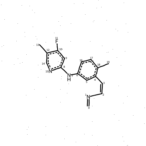 C=N/C=C\c1cc(Nc2cc(F)c(C)cn2)ccc1C